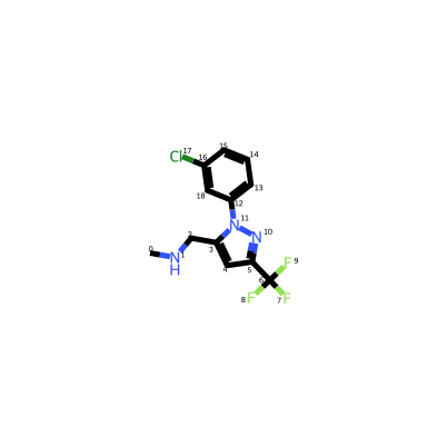 CNCc1cc(C(F)(F)F)nn1-c1cccc(Cl)c1